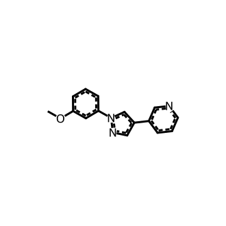 COc1cccc(-n2cc(-c3cccnc3)cn2)c1